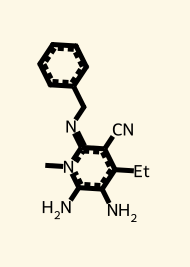 CCc1c(N)c(N)n(C)c(=NCc2ccccc2)c1C#N